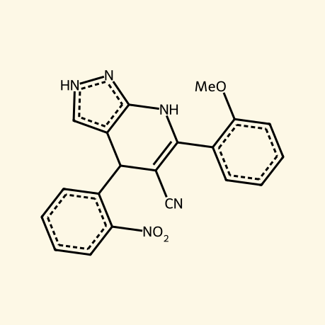 COc1ccccc1C1=C(C#N)C(c2ccccc2[N+](=O)[O-])c2c[nH]nc2N1